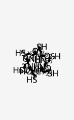 N[C@@H](CCS)C(=O)N[C@@H](CCS)C(=O)N[C@@H](CCS)C(=O)N[C@@H](CCS)C(=O)N[C@@H](CCS)C(=O)N[C@@H](CCS)C(=O)O